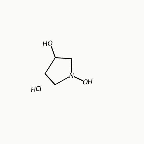 Cl.OC1CCN(O)C1